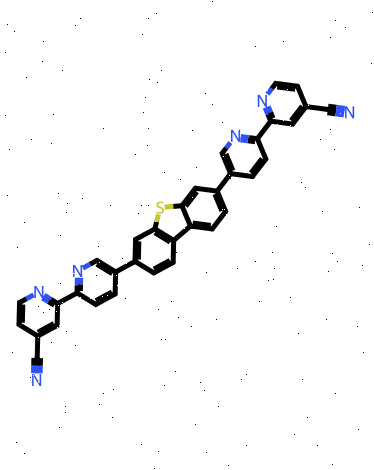 N#Cc1ccnc(-c2ccc(-c3ccc4c(c3)sc3cc(-c5ccc(-c6cc(C#N)ccn6)nc5)ccc34)cn2)c1